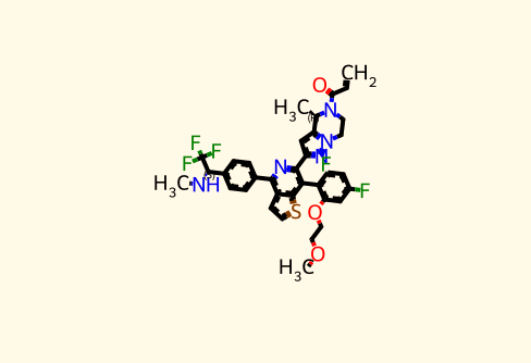 C=CC(=O)N1CCn2nc(-c3nc(-c4ccc([C@H](NC)C(F)(F)F)cc4)c4ccsc4c3-c3c(F)cc(F)cc3OCCOC)cc2[C@H]1C